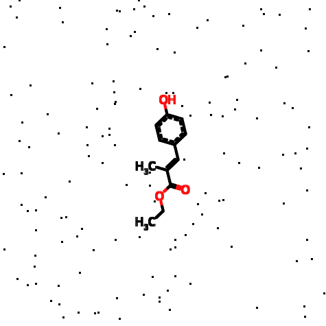 CCOC(=O)/C(C)=C/c1ccc(O)cc1